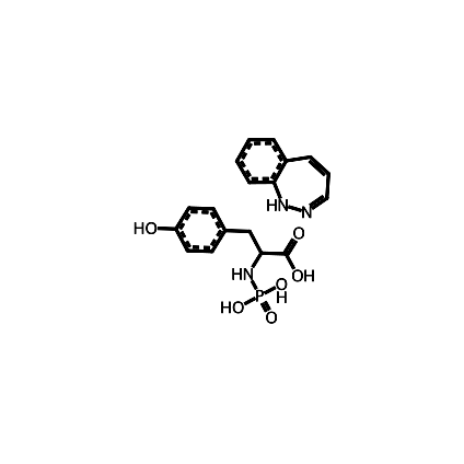 C1=Cc2ccccc2NN=C1.O=C(O)C(Cc1ccc(O)cc1)NP(=O)(O)O